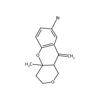 C=C1c2cc(Br)ccc2OC2(C)CCOCC12